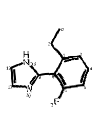 CCc1cccc(F)c1-c1ncc[nH]1